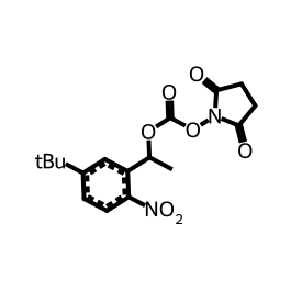 CC(OC(=O)ON1C(=O)CCC1=O)c1cc(C(C)(C)C)ccc1[N+](=O)[O-]